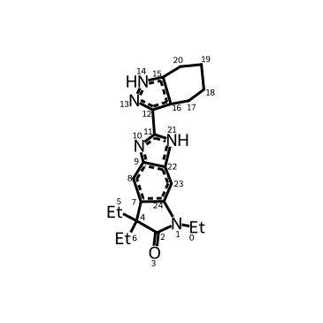 CCN1C(=O)C(CC)(CC)c2cc3nc(-c4n[nH]c5c4CCCC5)[nH]c3cc21